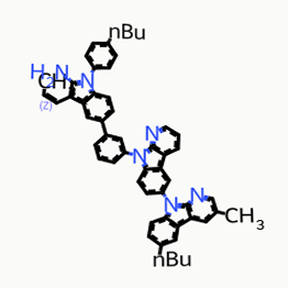 C/C=C\c1c(N)n(-c2ccc(CCCC)cc2)c2ccc(-c3cccc(-n4c5ccc(-n6c7ccc(CCCC)cc7c7cc(C)cnc76)cc5c5cccnc54)c3)cc12